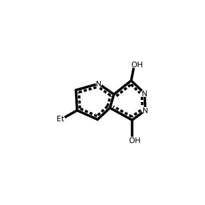 CCc1cnc2c(O)nnc(O)c2c1